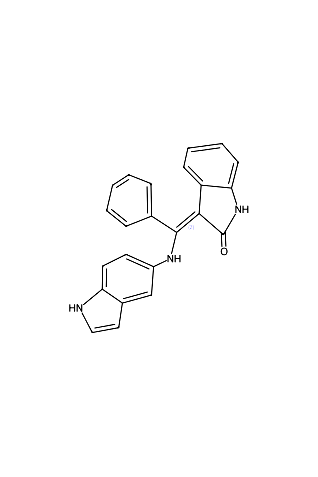 O=C1Nc2ccccc2/C1=C(/Nc1ccc2[nH]ccc2c1)c1ccccc1